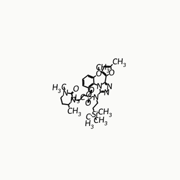 COc1cccc(OC)c1-n1c(-c2ccc(C)o2)nnc1N(CC[Si](C)(C)C)S(=O)(=O)CCN1C(=O)N(C)CCC1C